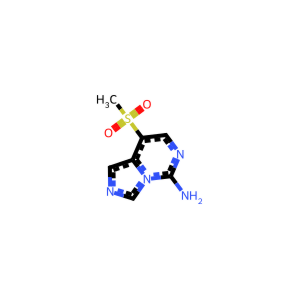 CS(=O)(=O)c1cnc(N)n2cncc12